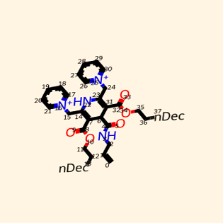 C=CCNC(=O)C1C(C(=O)OCCCCCCCCCCCC)=C(C[n+]2ccccc2)NC(C[n+]2ccccc2)=C1C(=O)OCCCCCCCCCCCC